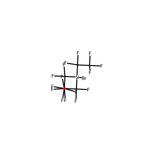 FC(F)(F)C(F)(F)[Si](Br)(C(F)(F)C(F)(F)F)C(F)(F)C(F)(F)F